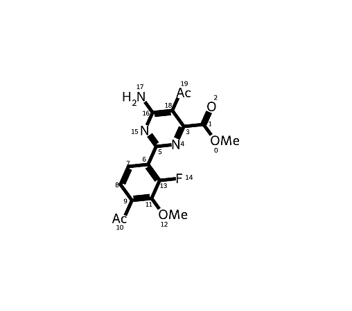 COC(=O)c1nc(-c2ccc(C(C)=O)c(OC)c2F)nc(N)c1C(C)=O